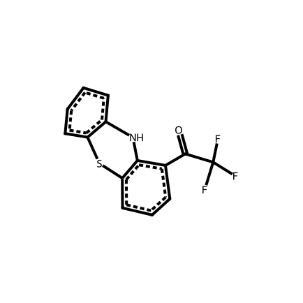 O=C(c1cccc2c1Nc1ccccc1S2)C(F)(F)F